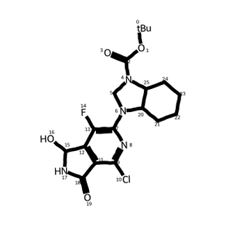 CC(C)(C)OC(=O)N1CN(c2nc(Cl)c3c(c2F)C(O)NC3=O)C2CCCCC21